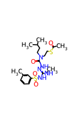 CNC(=NNC(=O)N(CCSC(C)=O)CCC(C)C)NS(=O)(=O)c1cccc(C)c1